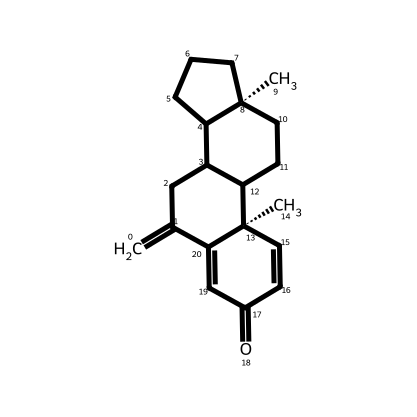 C=C1CC2C3CCC[C@@]3(C)CCC2[C@@]2(C)C=CC(=O)C=C12